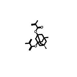 C=C(C)C(=C)OC12CC3(C)CC(OC(=O)C(=C)C)(C1)C[C@](C)(C3)C2